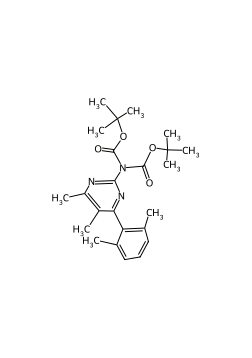 Cc1cccc(C)c1-c1nc(N(C(=O)OC(C)(C)C)C(=O)OC(C)(C)C)nc(C)c1C